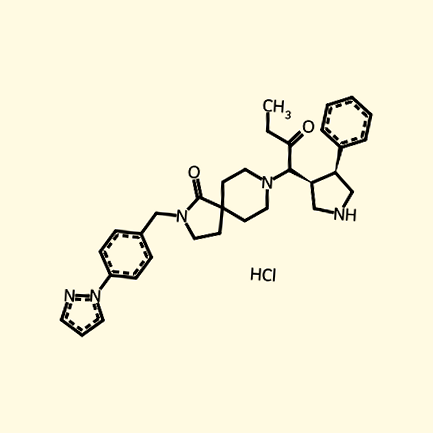 CCC(=O)C([C@@H]1CNC[C@@H]1c1ccccc1)N1CCC2(CCN(Cc3ccc(-n4cccn4)cc3)C2=O)CC1.Cl